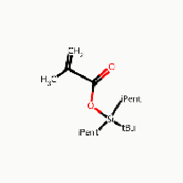 C=C(C)C(=O)O[Si](C(C)CCC)(C(C)CCC)C(C)(C)C